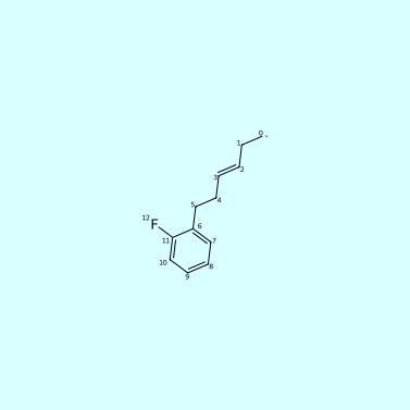 [CH2]CC=CCCc1ccccc1F